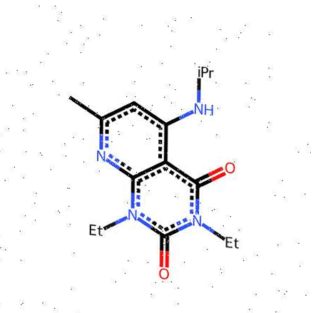 CCn1c(=O)c2c(NC(C)C)cc(C)nc2n(CC)c1=O